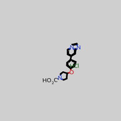 Cl.O=C(O)N1CCC(Oc2ccc(-c3ccn4ccnc4c3)cc2)CC1